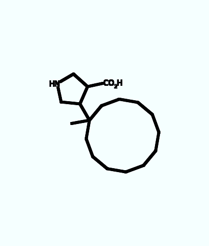 CC1(C2CNCC2C(=O)O)CCCCCCCCCCC1